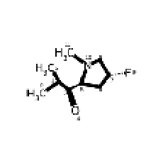 CC(C)C(=O)[C@@H]1C[C@@H](F)CN1C